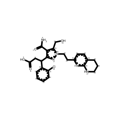 NC(=O)c1c(C(CC(=O)O)c2ccccc2Cl)nn(CCc2ccc3c(n2)NCCC3)c1CO